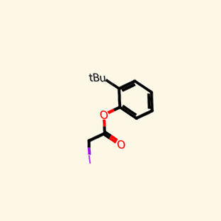 CC(C)(C)c1ccccc1OC(=O)CI